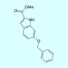 COC(=O)c1cc2ccc(OCc3ccccc3)cc2[nH]1